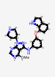 COc1ncnc2c1c(Nc1cccc(Oc3cccc4cc[nH]c34)c1)nn2-c1ccncc1